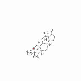 COC[C@]12CC[C@@](C)(O)C[C@@H]1CC[C@@H]1[C@@H]2CC[C@]2(C)C(=O)CC[C@@H]12